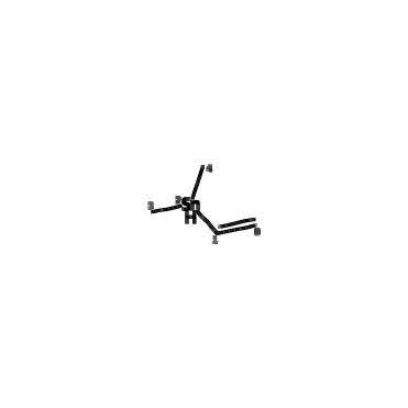 C=[CH][SnH]([CH3])[CH3]